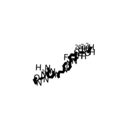 [2H]C([2H])([2H])OC([2H])([2H])C([2H])([2H])Oc1cnc(N2CCN(CCN(C)c3cc4nc(-c5ncco5)nn4c(N)n3)CC2)c(F)c1